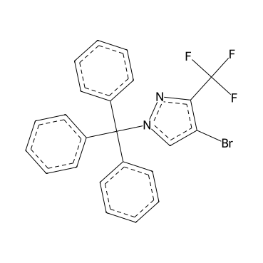 FC(F)(F)c1nn(C(c2ccccc2)(c2ccccc2)c2ccccc2)cc1Br